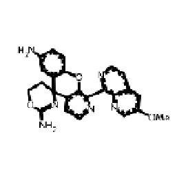 COc1cnc2c(-c3nccc4c3Oc3ccc(N)cc3C43CCOC(N)=N3)nccc2c1